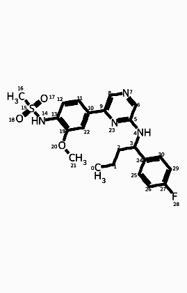 CCCC(Nc1cncc(-c2ccc(NS(C)(=O)=O)c(OC)c2)n1)c1ccc(F)cc1